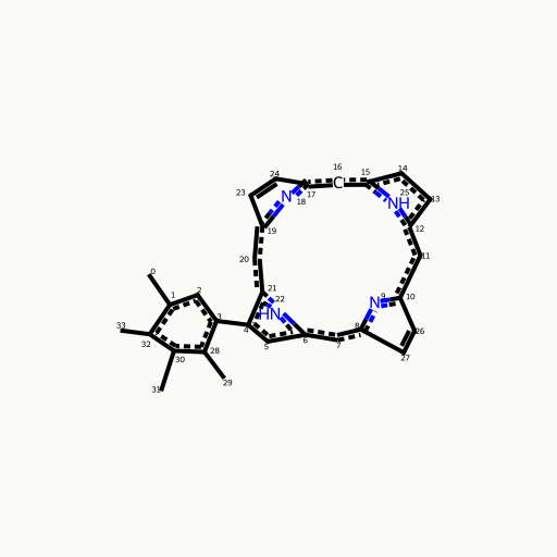 Cc1cc(-c2cc3cc4nc(cc5ccc(cc6nc(cc2[nH]3)C=C6)[nH]5)C=C4)c(C)c(C)c1C